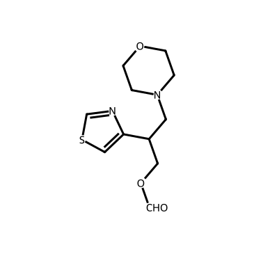 O=COCC(CN1CCOCC1)c1cscn1